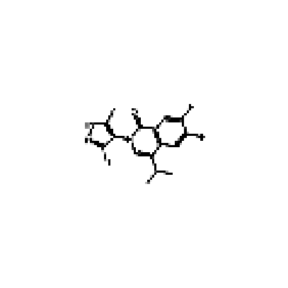 Cc1[nH]nc(Cl)c1-n1cc(C(C)C)c2cc(F)c(F)cc2c1=O